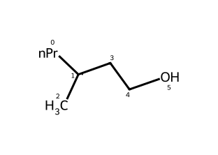 CCC[C](C)CCO